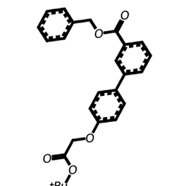 CC(C)(C)OC(=O)COc1ccc(-c2cccc(C(=O)OCc3ccccc3)c2)cc1